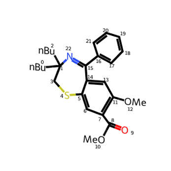 CCCCC1(CCCC)CSc2cc(C(=O)OC)c(OC)cc2C(c2ccccc2)=N1